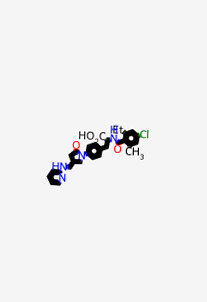 CCc1cc(Cl)cc(C)c1C(=O)NC(Cc1ccc(N2CC(CNc3ccccn3)CC2=O)cc1)C(=O)O